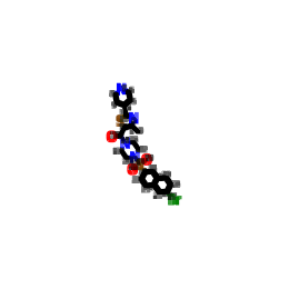 Cc1nc(-c2ccncc2)sc1C(=O)N1CCN(S(=O)(=O)c2ccc3cc(Br)ccc3c2)CC1